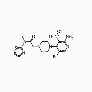 CN(C(=O)CN1CCN(c2c(Br)cnc(N)c2[N+](=O)[O-])CC1)c1nccs1